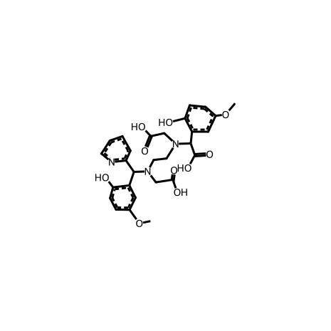 COc1ccc(O)c(C(C(=O)O)N(CCN(CC(=O)O)C(c2ccccn2)c2cc(OC)ccc2O)CC(=O)O)c1